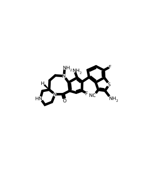 N#Cc1c(N)sc2c(F)ccc(-c3c(F)cc4c(c3N)N(N)CC[C@H]3CNCCN3C4=O)c12